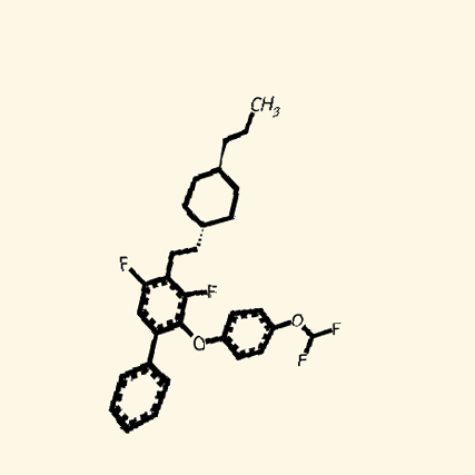 CCC[C@H]1CC[C@H](CCc2c(F)cc(-c3ccccc3)c(Oc3ccc(OC(F)F)cc3)c2F)CC1